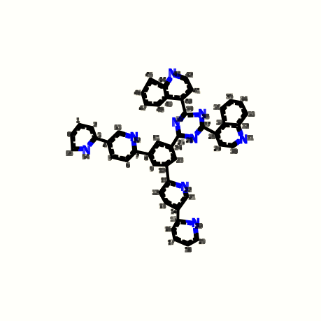 c1ccc(-c2ccc(-c3cc(-c4ccc(-c5ccccn5)cn4)cc(-c4nc(-c5ccnc6ccccc56)nc(-c5ccnc6ccccc56)n4)c3)nc2)nc1